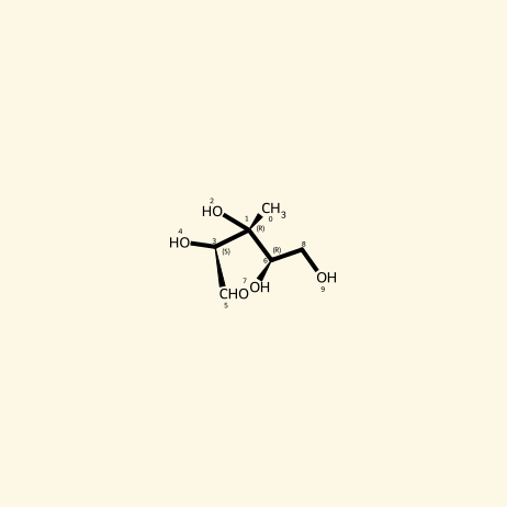 C[C@](O)([C@H](O)C=O)[C@H](O)CO